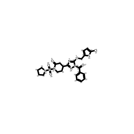 O=C1CC(c2nc(OCc3ccc(Cl)s3)n(C(=O)c3ccccc3)n2)CCN1S(=O)(=O)N1CCCC1